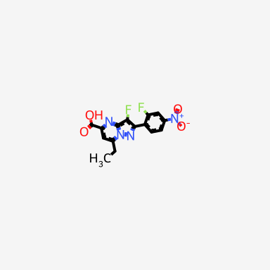 CCc1cc(C(=O)O)nc2c(F)c(-c3ccc([N+](=O)[O-])cc3F)nn12